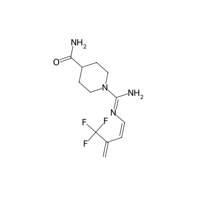 C=C(/C=C\N=C(/N)N1CCC(C(N)=O)CC1)C(F)(F)F